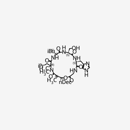 CCCCCCCCCC[C@H]1OC(=O)CNC(=O)[C@H](Cc2c[nH]cn2)NC(=O)[C@H](CO)NC(=O)[C@H]([C@@H](C)CC)NC(=O)[C@@](C)(CC(C)C)N(C)C(=O)[C@@H]1C